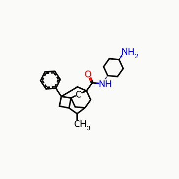 CC1C2CC3(C(=O)N[C@H]4CC[C@H](N)CC4)CC4(c5ccccc5)CC1C4(C2)C3